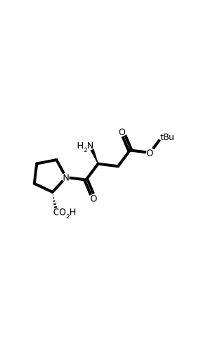 CC(C)(C)OC(=O)C[C@H](N)C(=O)N1CCC[C@H]1C(=O)O